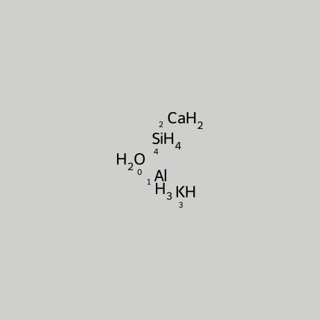 O.[AlH3].[CaH2].[KH].[SiH4]